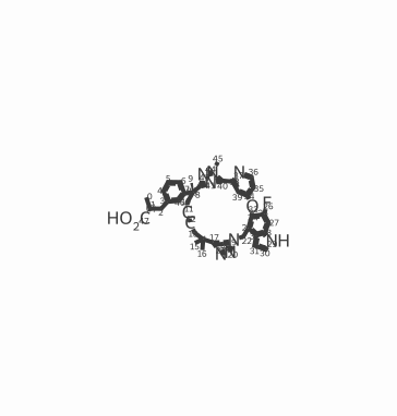 C[C@@H](Cc1cccc([C@@]2(C)CCCCC(C)(C)c3cn(nn3)Cc3c(c(F)cc4[nH]ccc34)Oc3ccnc(c3)-c3nc2nn3C)c1)C(=O)O